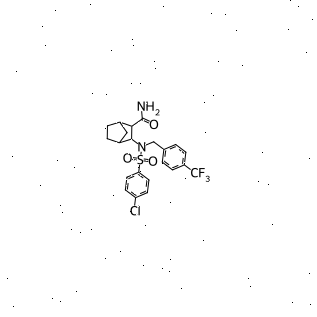 NC(=O)C1C2CCC(C2)C1N(Cc1ccc(C(F)(F)F)cc1)S(=O)(=O)c1ccc(Cl)cc1